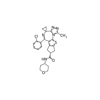 Cc1nnc2n1-c1sc3c(c1C(c1ccccc1Cl)=NC21CC1)C[C@H](C(=O)NC1CCOCC1)C3